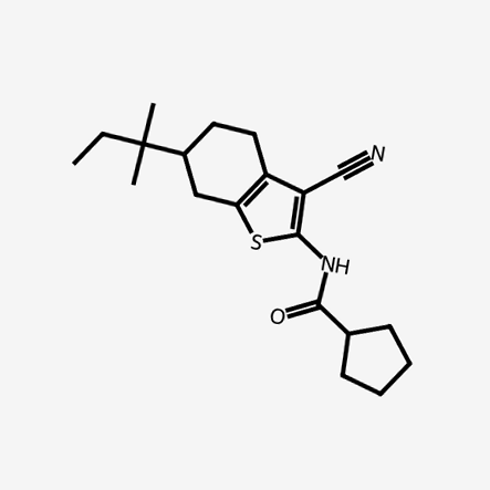 CCC(C)(C)C1CCc2c(sc(NC(=O)C3CCCC3)c2C#N)C1